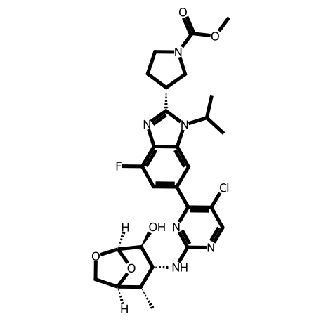 COC(=O)N1CC[C@@H](c2nc3c(F)cc(-c4nc(N[C@@H]5[C@H](C)[C@H]6CO[C@H](O6)[C@H]5O)ncc4Cl)cc3n2C(C)C)C1